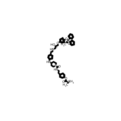 CN(C)C(=O)Oc1ccc(CCNC(=O)N2CCC(Nc3ccc(CCNC[C@H](O)COc4ccc(O[Si](c5ccccc5)(c5ccccc5)C(C)(C)C)cc4)cc3)CC2)cc1